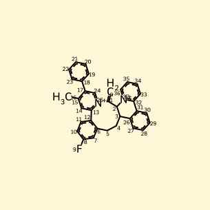 C=C1C2C(CCc3cc(F)ccc3-c3cc(C)c(-c4ccccc4)c[n+]31)c1ccccc1-c1cccc[n+]12